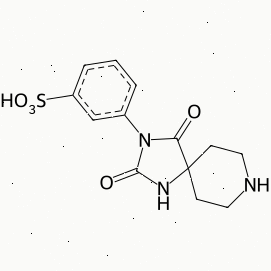 O=C1NC2(CCNCC2)C(=O)N1c1cccc(S(=O)(=O)O)c1